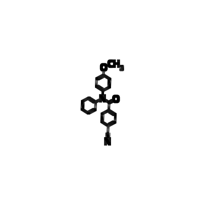 COc1ccc(N(C(=O)c2ccc(C#N)cc2)c2ccccc2)cc1